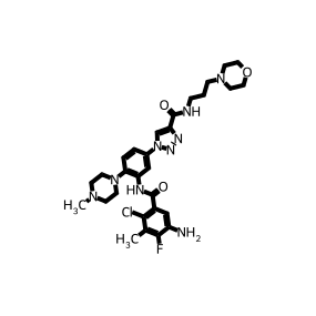 Cc1c(F)c(N)cc(C(=O)Nc2cc(-n3cc(C(=O)NCCCN4CCOCC4)nn3)ccc2N2CCN(C)CC2)c1Cl